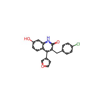 O=c1[nH]c2cc(O)ccc2c(-c2ccoc2)c1Cc1ccc(Cl)cc1